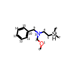 COCN(CC[SiH](C)C)Cc1ccccc1